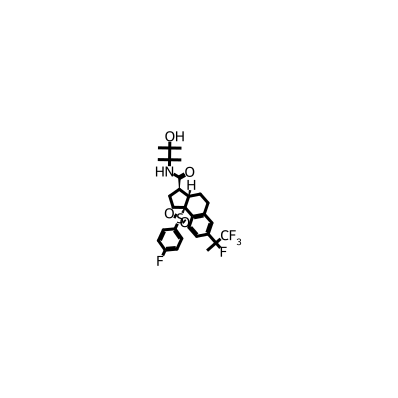 CC(C)(O)C(C)(C)NC(=O)[C@@H]1CC[C@@]2(S(=O)(=O)c3ccc(F)cc3)c3ccc(C(C)(F)C(F)(F)F)cc3CC[C@@H]12